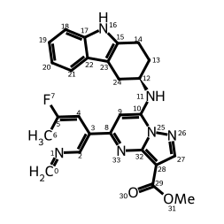 C=N/C=C(\C=C(/C)F)c1cc(N[C@@H]2CCc3[nH]c4ccccc4c3C2)n2ncc(C(=O)OC)c2n1